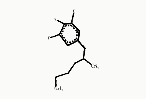 CC(CCCN)Cc1cc(F)c(F)c(F)c1